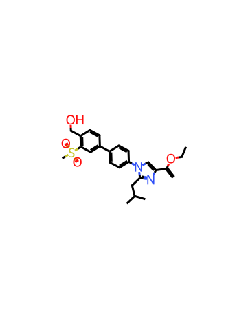 C=C(OCC)c1cn(-c2ccc(-c3ccc(CO)c(S(C)(=O)=O)c3)cc2)c(CC(C)C)n1